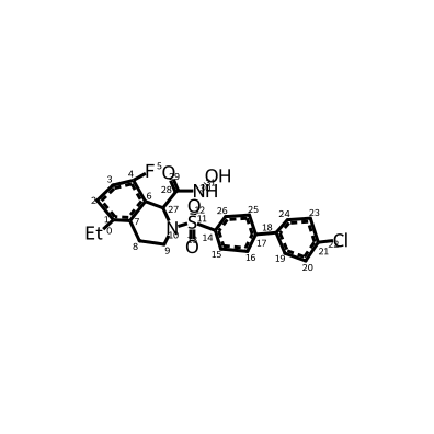 CCc1ccc(F)c2c1CCN(S(=O)(=O)c1ccc(-c3ccc(Cl)cc3)cc1)C2C(=O)NO